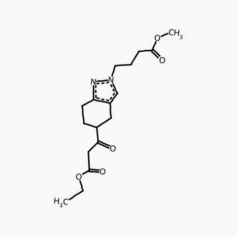 CCOC(=O)CC(=O)C1CCc2nn(CCCC(=O)OC)cc2C1